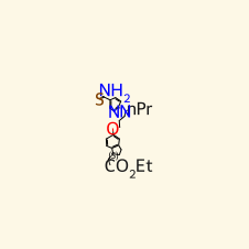 CCCN(CCCOc1ccc2c(c1)CC[C@H]2CC(=O)OCC)c1ccc(C(N)=S)cn1